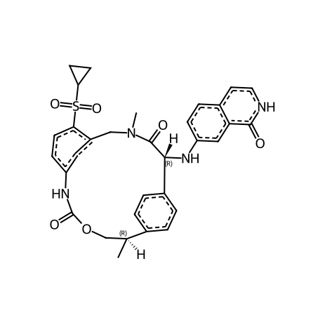 C[C@H]1COC(=O)Nc2ccc(S(=O)(=O)C3CC3)c(c2)CN(C)C(=O)[C@H](Nc2ccc3cc[nH]c(=O)c3c2)c2ccc1cc2